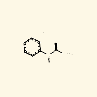 CCN(C(=O)OC)c1ccccc1.Cl